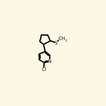 CSC1CCCC1c1ccc(Cl)nc1